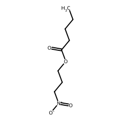 CCCCC(=O)OCCC[N+](=O)[O-]